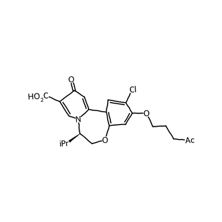 CC(=O)CCCOc1cc2c(cc1Cl)-c1cc(=O)c(C(=O)O)cn1[C@H](C(C)C)CO2